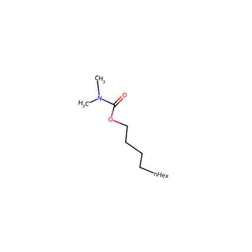 CCCCCCCCCCOC(=O)N(C)C